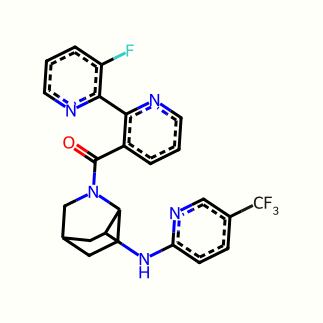 O=C(c1cccnc1-c1ncccc1F)N1CC2CCC1C(Nc1ccc(C(F)(F)F)cn1)C2